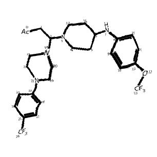 CC(=O)CC(N1CCC(Nc2ccc(OC(F)(F)F)cc2)CC1)N1CCN(c2ccc(C(F)(F)F)cc2)CC1